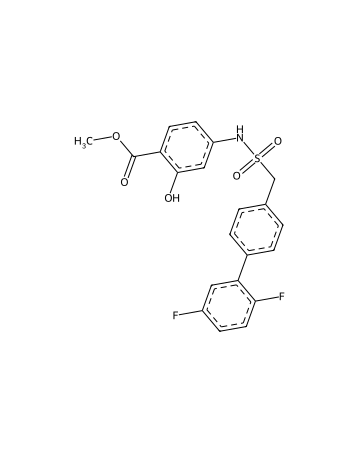 COC(=O)c1ccc(NS(=O)(=O)Cc2ccc(-c3cc(F)ccc3F)cc2)cc1O